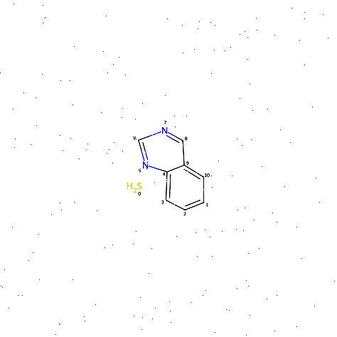 S.c1ccc2ncncc2c1